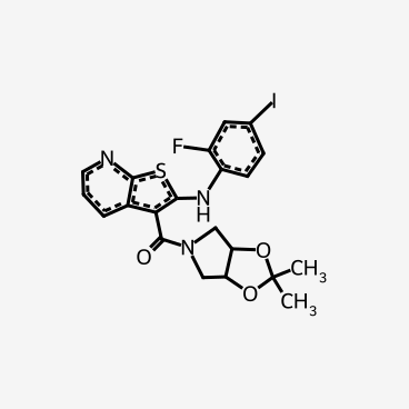 CC1(C)OC2CN(C(=O)c3c(Nc4ccc(I)cc4F)sc4ncccc34)CC2O1